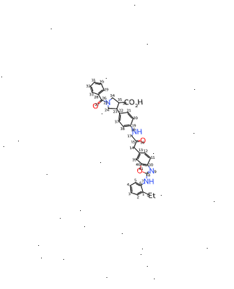 CCc1ccccc1Nc1nc2ccc(CC(=O)CNc3ccc(C4CN(C(=O)c5ccccc5)CC4C(=O)O)cc3)cc2o1